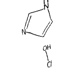 OCl.c1c[nH]cn1